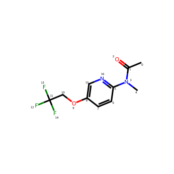 CC(=O)N(C)c1ccc(OCC(F)(F)F)cn1